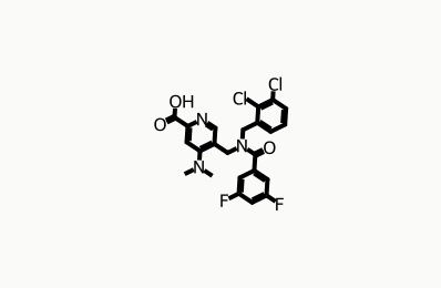 CN(C)c1cc(C(=O)O)ncc1CN(Cc1cccc(Cl)c1Cl)C(=O)c1cc(F)cc(F)c1